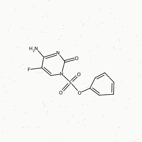 Nc1nc(=O)n(S(=O)(=O)Oc2ccccc2)cc1F